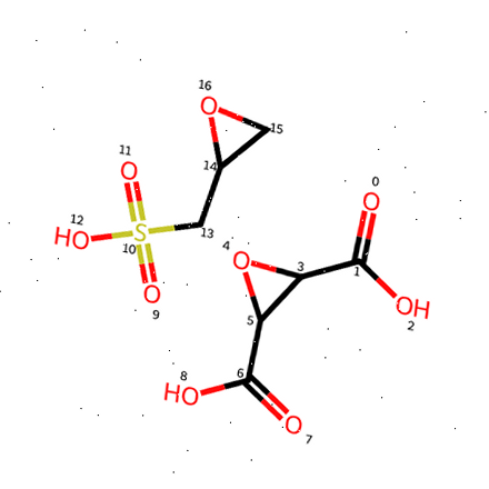 O=C(O)C1OC1C(=O)O.O=S(=O)(O)CC1CO1